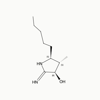 CCCCC[C@@H]1NC(=N)[C@H](O)[C@H]1C